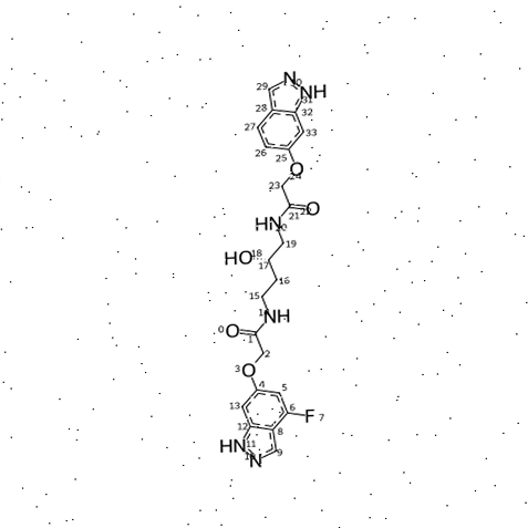 O=C(COc1cc(F)c2cn[nH]c2c1)NCC[C@H](O)CNC(=O)COc1ccc2cn[nH]c2c1